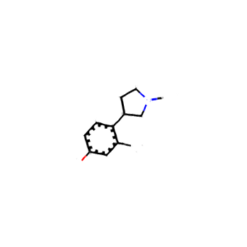 O=Cc1cc(O)ccc1C1CCN(C=O)C1